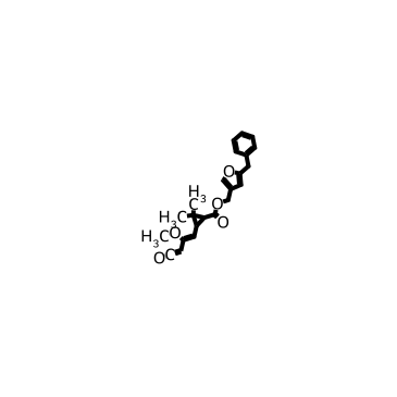 COC(C=C=O)=CC1C(C(=O)OCc2coc(Cc3ccccc3)c2)C1(C)C